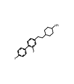 CCCC1CCC(CCc2ccc(-c3ccc(F)cc3)c(F)c2)CC1